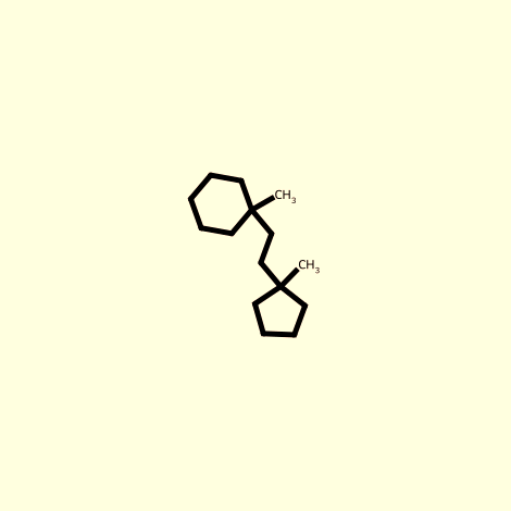 CC1(CCC2(C)CCCC2)CCCCC1